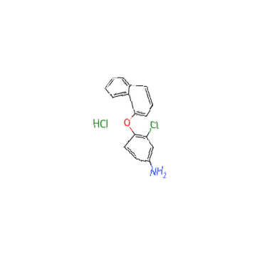 Cl.Nc1ccc(Oc2cccc3ccccc23)c(Cl)c1